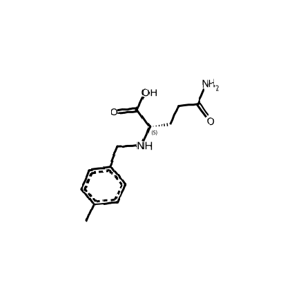 Cc1ccc(CN[C@@H](CCC(N)=O)C(=O)O)cc1